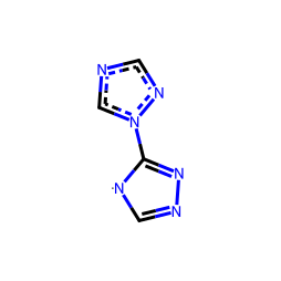 C1=NN=C(n2cncn2)[N]1